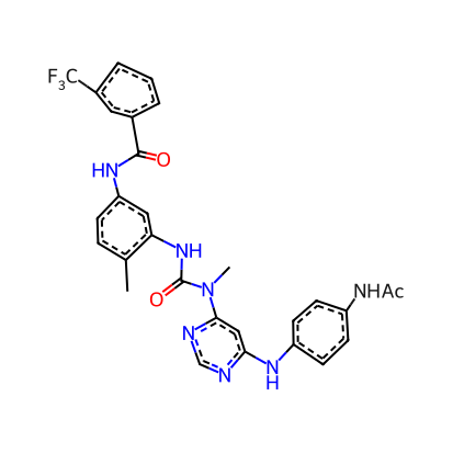 CC(=O)Nc1ccc(Nc2cc(N(C)C(=O)Nc3cc(NC(=O)c4cccc(C(F)(F)F)c4)ccc3C)ncn2)cc1